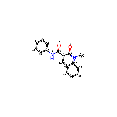 CC(=O)n1c(=O)c(C(=O)Nc2ccccc2)cc2ccccc21